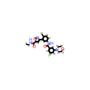 CCNC(=O)c1cc(-c2cc(NC(=O)c3cc(F)cc(N4CCOCC4)c3)ccc2C)no1